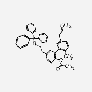 C=CCc1ccc(C)c(-c2cc(CCC[PH](c3ccccc3)(c3ccccc3)c3ccccc3)ccc2OC(C)=O)c1